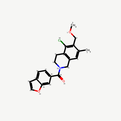 COCc1c(C)cc2c(c1Cl)CCN(C(=O)c1ccc3ccoc3c1)C2